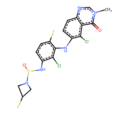 Cn1cnc2ccc(Nc3c(F)ccc(N[S+]([O-])N4CC(F)C4)c3Cl)c(Cl)c2c1=O